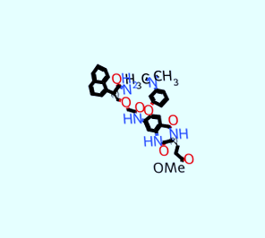 COC(=O)CC[C@H]1NC(=O)c2cc(Oc3cccc(N(C)C)c3)c(NC(=O)COC[C@H](C(N)=O)c3cccc4ccccc34)cc2NC1=O